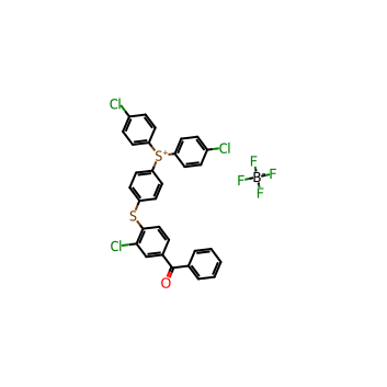 F[B-](F)(F)F.O=C(c1ccccc1)c1ccc(Sc2ccc([S+](c3ccc(Cl)cc3)c3ccc(Cl)cc3)cc2)c(Cl)c1